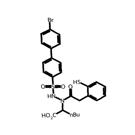 CCCCC(C(=O)O)N(NS(=O)(=O)c1ccc(-c2ccc(Br)cc2)cc1)C(=O)Cc1ccccc1S